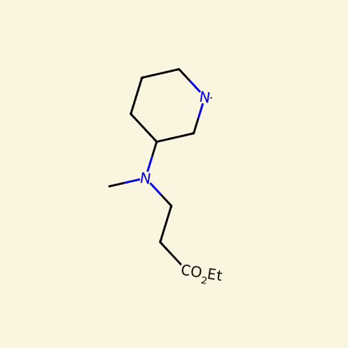 CCOC(=O)CCN(C)C1CCC[N]C1